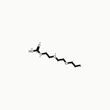 CCCOCCOCCOC(=O)O